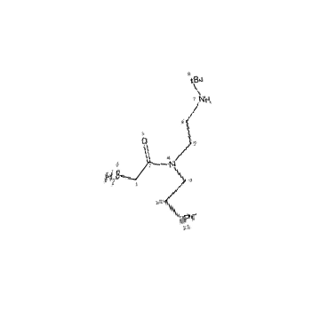 BCC(=O)N(CCNC(C)(C)C)CCC(C)C